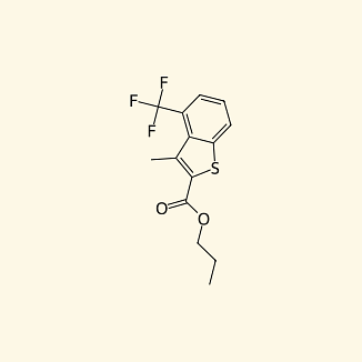 CCCOC(=O)c1sc2cccc(C(F)(F)F)c2c1C